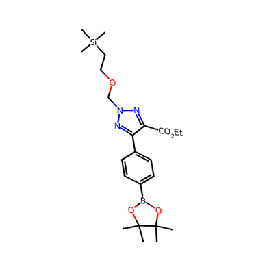 CCOC(=O)c1nn(COCC[Si](C)(C)C)nc1-c1ccc(B2OC(C)(C)C(C)(C)O2)cc1